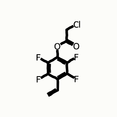 C=Cc1c(F)c(F)c(OC(=O)CCl)c(F)c1F